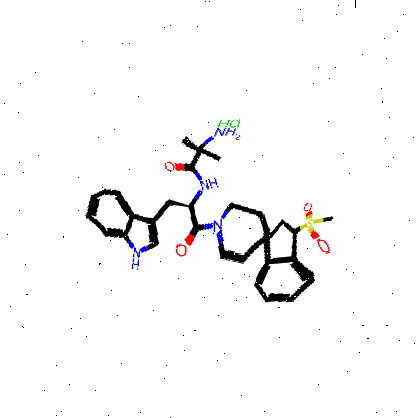 CC(C)(N)C(=O)N[C@H](Cc1c[nH]c2ccccc12)C(=O)N1CCC2(CC1)CC(S(C)(=O)=O)c1ccccc12.Cl